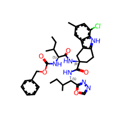 CCC(C)[C@H](NC(=O)OCc1ccccc1)C(=O)N[C@]1(C(=O)N[C@H](c2nnco2)C(C)CC)CCc2[nH]c3c(Cl)cc(C)cc3c2C1